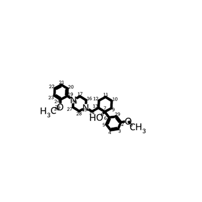 COc1cccc(C2(O)CCCCC2CN2CCN(c3ccccc3OC)CC2)c1